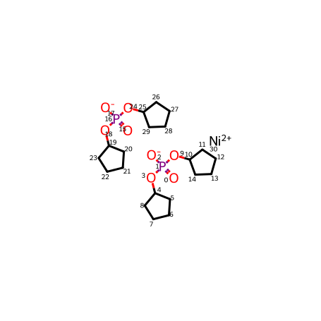 O=P([O-])(OC1CCCC1)OC1CCCC1.O=P([O-])(OC1CCCC1)OC1CCCC1.[Ni+2]